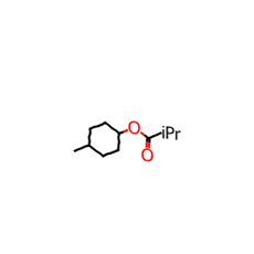 CC1CCC(OC(=O)C(C)C)CC1